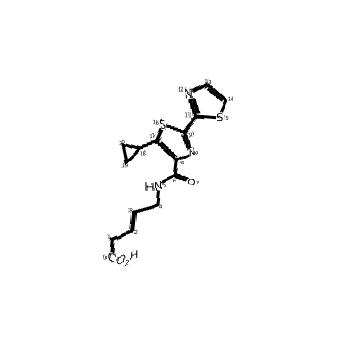 O=C(O)CCCCNC(=O)c1nc(-c2nccs2)sc1C1CC1